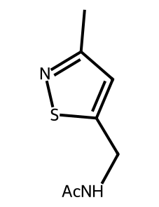 CC(=O)NCc1cc(C)ns1